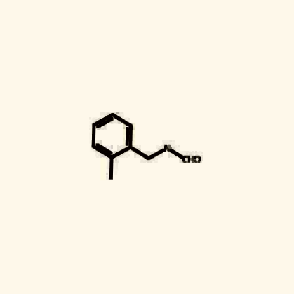 Cc1ccccc1C[N]C=O